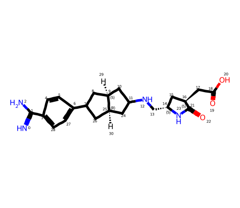 N=C(N)c1ccc(C2C[C@H]3CC(NC[C@@H]4C[C@@H](CC(=O)O)C(=O)N4)C[C@H]3C2)cc1